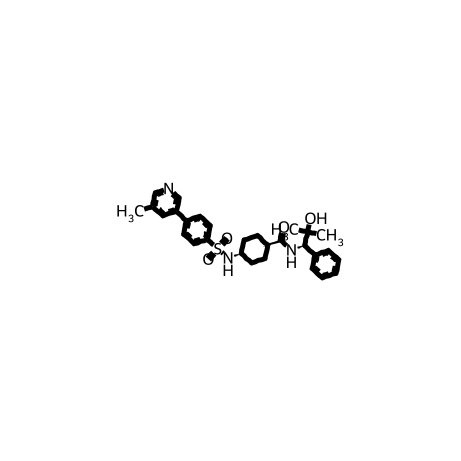 Cc1cncc(-c2ccc(S(=O)(=O)N[C@H]3CC[C@H](C(=O)N[C@@H](c4ccccc4)C(C)(C)O)CC3)cc2)c1